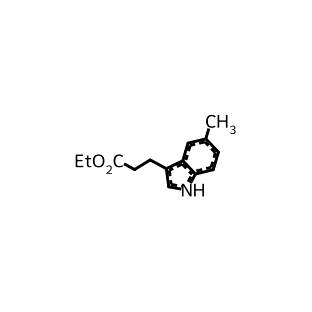 CCOC(=O)CCc1c[nH]c2ccc(C)cc12